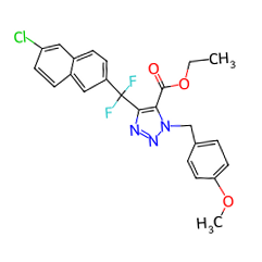 CCOC(=O)c1c(C(F)(F)c2ccc3cc(Cl)ccc3c2)nnn1Cc1ccc(OC)cc1